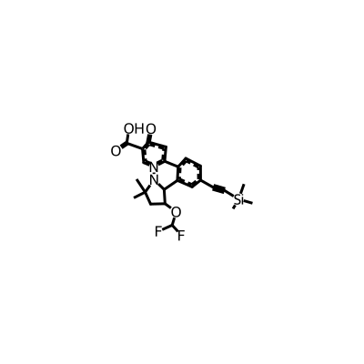 CC1(C)CC(OC(F)F)C2c3cc(C#C[Si](C)(C)C)ccc3-c3cc(=O)c(C(=O)O)cn3N21